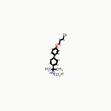 CC(C)(NC(=O)O)c1ccc(-c2ccc(OCCCC#N)cc2)cc1